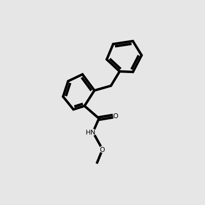 CONC(=O)c1ccccc1Cc1ccccc1